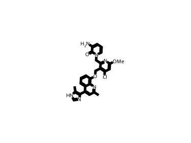 COc1cc(Cl)c(COc2cccc3c(-c4nc[nH]c4C)cc(C)nc23)c(Cn2cccc(N)c2=O)n1